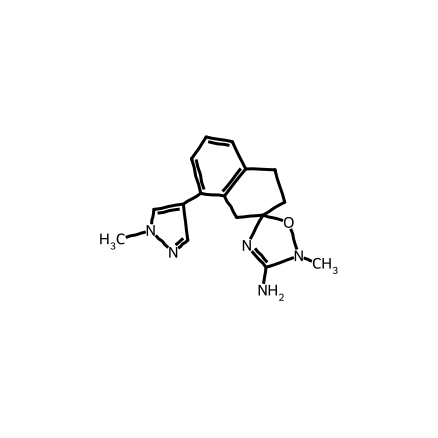 CN1OC2(CCc3cccc(-c4cnn(C)c4)c3C2)N=C1N